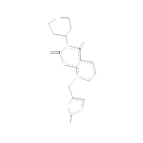 O=c1nc2n(Cc3cnc(Cl)s3)cccc-2c(=O)n1C1CCOCC1